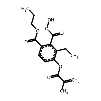 C=C(C)C(=O)Oc1ccc(C(=O)OCCC)c(C(=O)OO)c1CC